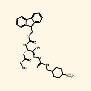 CCC/C(=N\NC(=O)NCC1CCC(C(=O)O)CC1)[C@H](CC(=O)OC(C)(C)C)NC(=O)OCC1c2ccccc2-c2ccccc21